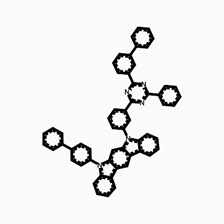 c1ccc(-c2ccc(-n3c4ccccc4c4cc5c6ccccc6n(-c6cccc(-c7nc(-c8ccccc8)nc(-c8cccc(-c9ccccc9)c8)n7)c6)c5cc43)cc2)cc1